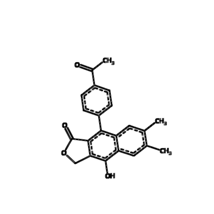 CC(=O)c1ccc(-c2c3c(c(O)c4cc(C)c(C)cc24)COC3=O)cc1